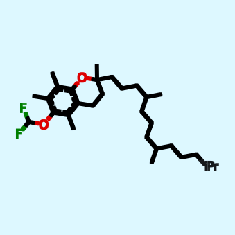 Cc1c(C)c2c(c(C)c1OC(F)F)CCC(C)(CCCC(C)CCCC(C)CCCC(C)C)O2